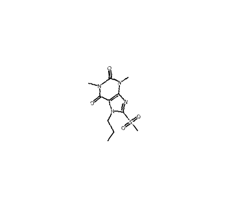 CCCn1c(S(C)(=O)=O)nc2c1c(=O)n(C)c(=O)n2C